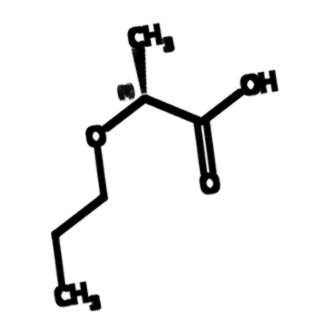 CCCO[C@H](C)C(=O)O